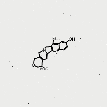 CCc1c2c(nc3ccc(O)cc13)C1=CC3=C(COC[C@H]3CC)CN1C2